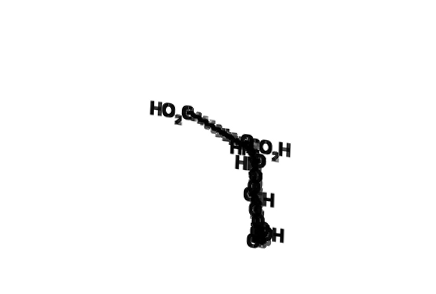 O=C(O)CCCCCCCCCCCCCCCCC(=O)N[C@@H](CCC(=O)NCCOCCOCC(=O)NCCOCCOCC(=O)ON1C(=O)CCC1O)C(=O)O